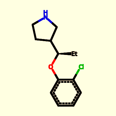 CC[C@@H](Oc1ccccc1Cl)C1CCNC1